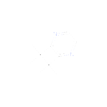 CC1(C)c2nccnc2C1(C)C